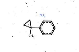 CC1(c2ccccc2)CC1.N